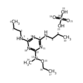 CCCNc1nc(NCCC)nc(N(C)OCC)n1.O=S(=O)(O)O